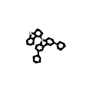 c1ccc(-c2ccc3c(c2)c2cc(-c4ccccc4)ccc2n3-c2cccc3oc4ccccc4c23)cc1